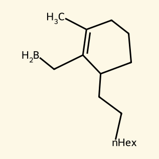 BCC1=C(C)CCCC1CCCCCCCC